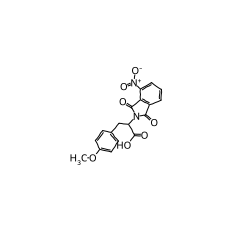 COc1ccc(CC(C(=O)O)N2C(=O)c3cccc([N+](=O)[O-])c3C2=O)cc1